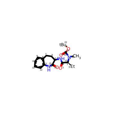 CC[C@@H](C(=O)NC1CCc2ccccc2NC1=O)N(C)C(=O)OC(C)(C)C